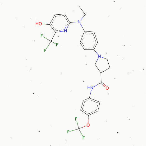 CCN(c1ccc(N2CCC(C(=O)Nc3ccc(OC(F)(F)F)cc3)C2)cc1)c1ccc(O)c(C(F)(F)F)n1